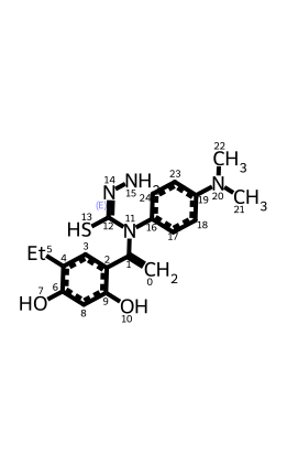 C=C(c1cc(CC)c(O)cc1O)N(/C(S)=N\N)c1ccc(N(C)C)cc1